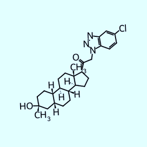 C[C@@]1(O)CC[C@H]2[C@H](CC[C@@H]3[C@@H]2CC[C@]2(C)[C@@H](C(=O)Cn4nnc5cc(Cl)ccc54)CC[C@@H]32)C1